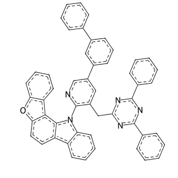 c1ccc(-c2cccc(-c3cnc(-n4c5ccccc5c5ccc6oc7ccccc7c6c54)c(Cc4nc(-c5ccccc5)nc(-c5ccccc5)n4)c3)c2)cc1